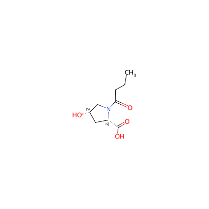 CCCC(=O)N1C[C@@H](O)C[C@H]1C(=O)O